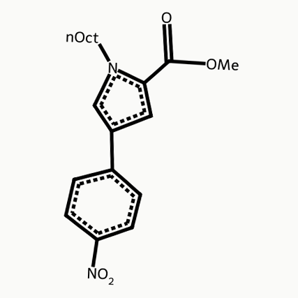 CCCCCCCCn1cc(-c2ccc([N+](=O)[O-])cc2)cc1C(=O)OC